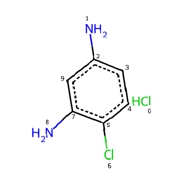 Cl.Nc1ccc(Cl)c(N)c1